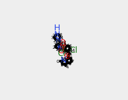 Cc1cc(C)c2cccc(OCc3c(Cl)ccc(S(=O)(=O)N4CCC[C@H]4C(=O)N4CCCNCC4)c3Cl)c2n1